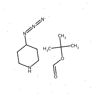 CC(C)(C)OC=O.[N-]=[N+]=NC1CCNCC1